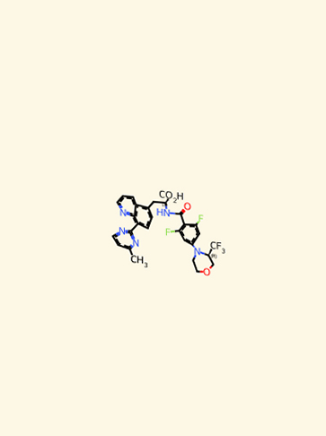 Cc1ccnc(-c2ccc(C[C@H](NC(=O)c3c(F)cc(N4CCOC[C@@H]4C(F)(F)F)cc3F)C(=O)O)c3cccnc23)n1